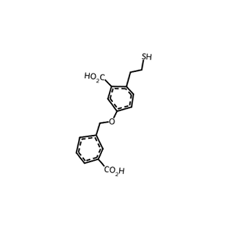 O=C(O)c1cccc(COc2ccc(CCS)c(C(=O)O)c2)c1